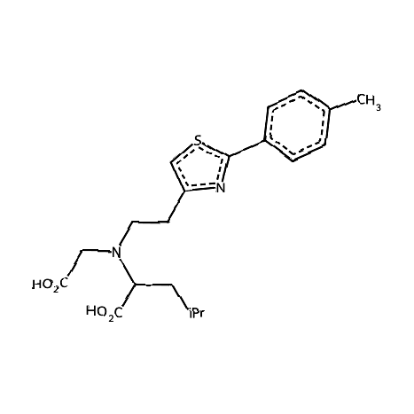 Cc1ccc(-c2nc(CCN(CC(=O)O)C(CC(C)C)C(=O)O)cs2)cc1